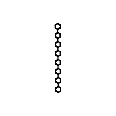 c1ccc(-c2ccc(-c3ccc(-c4ccc(-c5ccc(-c6ccc(-c7ccc(-c8ccccc8)cc7)cc6)cc5)cc4)cc3)cc2)cc1